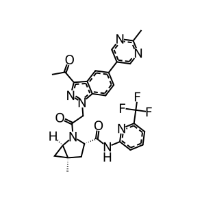 CC(=O)c1nn(CC(=O)N2[C@H](C(=O)Nc3cccc(C(F)(F)F)n3)C[C@@]3(C)C[C@@H]23)c2ccc(-c3cnc(C)nc3)cc12